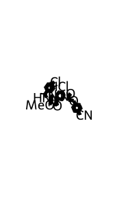 COn1c(N[C@@H](C)c2ccc(Cl)cc2)nc2c(c1=O)CN(C(=O)COc1ccc(C#N)cc1)CC2.Cl